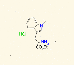 CCOC(=O)C(N)Cc1cn(C)c2ccccc12.Cl